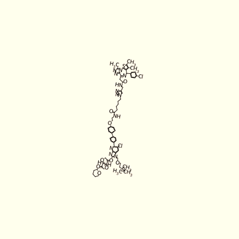 Cc1sc2c(c1C)C(c1ccc(Cl)cc1)=N[C@@H](CC(=O)NCc1cn(CCCCCC(=O)NCCOc3ccc(-c4ccc(-c5nc6nc(O[C@@H]7CO[C@H]8[C@@H]7OC[C@H]8OC7CCCCO7)n(COCC[Si](C)(C)C)c6cc5Cl)cc4)cc3)nn1)c1nnc(C)n1-2